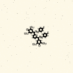 CC(C)(C)C1=CC(=C(/N=N/c2ccc(F)cc2)c2cccc(C(/N=N/c3ccc(F)cc3)=C3C=C(C(C)(C)C)C(=O)C(C(C)(C)C)=C3)n2)C=C(C(C)(C)C)C1=O